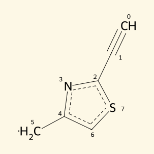 C#Cc1nc([CH2])cs1